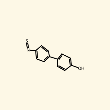 Oc1ccc(-c2ccc(N=S)cc2)cc1